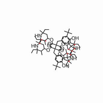 CCC1(C)CC(OC(=O)C(Cc2cc(C(C)(C)C)c(O)c(C(C)(C)C)c2)(C(=O)OC2CC(C)(CC)NC(C)(CC)C2C)C(Cc2cc(C(C)(C)C)c(O)c(C(C)(C)C)c2)(C(=O)OC2CC(C)(CC)NC(C)(CC)C2C)C(=O)OC2CC(C)(CC)NC(C)(CC)C2C)C(C)C(C)(CC)N1